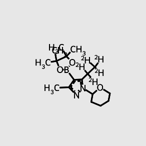 [2H]C([2H])([2H])C([2H])([2H])c1c(B2OC(C)(C)C(C)(C)O2)c(C)nn1C1CCCCO1